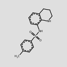 Cc1ccc(S(=O)(=O)Nc2cccc3c2NCCC3)cc1